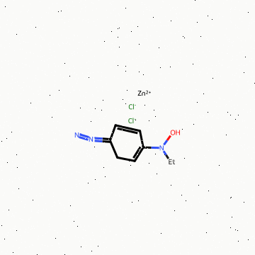 CCN(O)C1=CCC(=[N+]=[N-])C=C1.[Cl-].[Cl-].[Zn+2]